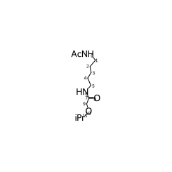 CC(=O)NCCCCCNC(=O)COC(C)C